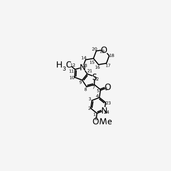 COc1ccc(C(=O)c2cc3cc(C)n(CC4CCCOC4)c3s2)cn1